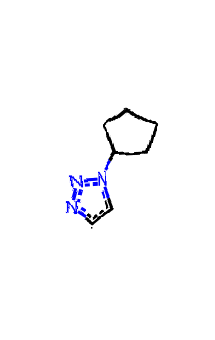 [c]1cn(C2CCCC2)nn1